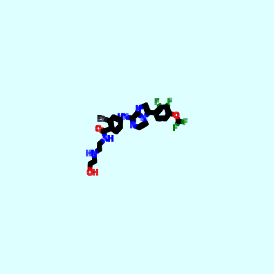 CCc1cc(Nc2nccn3c(-c4ccc(OC(F)F)c(F)c4F)cnc23)ccc1C(=O)NCCNCCO